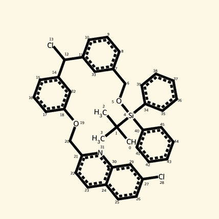 CC(C)(C)[Si](OCc1cccc(C(Cl)c2cccc(OCc3ccc4ccc(Cl)cc4n3)c2)c1)(c1ccccc1)c1ccccc1